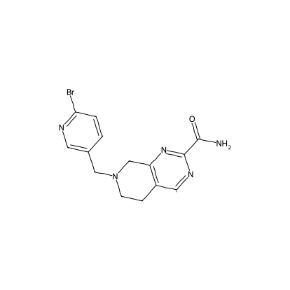 NC(=O)c1n[c]c2c(n1)CN(Cc1ccc(Br)nc1)CC2